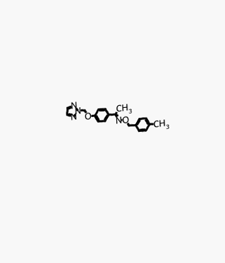 C/C(=N\OCc1ccc(C)cc1)c1ccc(OCn2nccn2)cc1